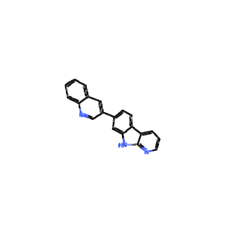 c1ccc2ncc(-c3ccc4c(c3)[nH]c3ncccc34)cc2c1